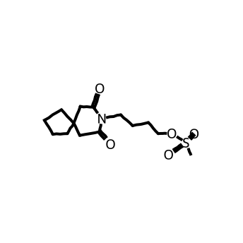 CS(=O)(=O)OCCCCN1C(=O)CC2(CCCC2)CC1=O